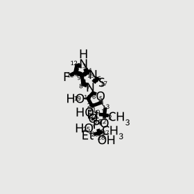 CCC(C)(C[C@H]1O[C@@H](n2cc3c(F)c[nH]c3nc2=S)[C@@H](O)C1O)OP(=O)(O)C(C)(O)CC